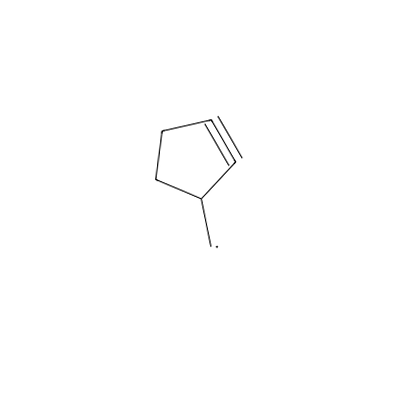 [CH2]C1C#CCC1